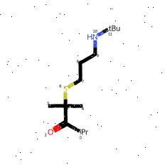 CC(C)C(=O)C(C)(C)SCCCNC(C)(C)C